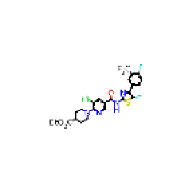 CCOC(=O)C1CCN(c2ncc(C(=O)Nc3nc(-c4ccc(F)c(C(F)(F)F)c4)c(F)s3)cc2Cl)CC1